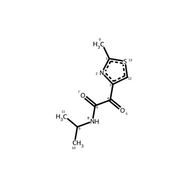 Cc1nc(C(=O)C(=O)NC(C)C)cs1